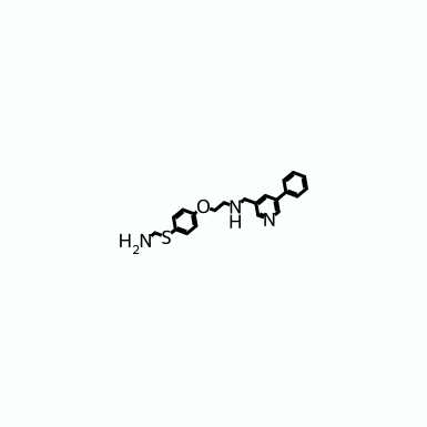 NCSc1ccc(OCCNCc2cncc(-c3ccccc3)c2)cc1